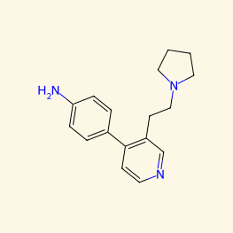 Nc1ccc(-c2ccncc2CCN2CCCC2)cc1